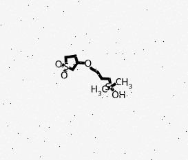 C[Si](C)(O)CCCCOC1CCS(=O)(=O)C1